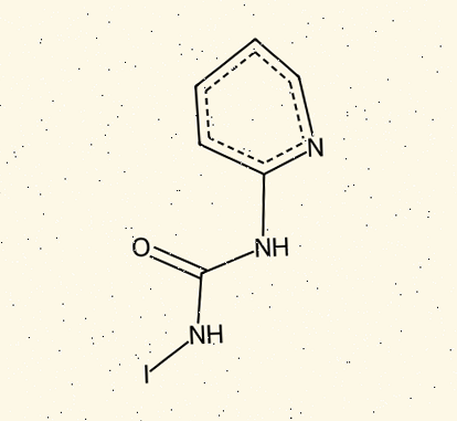 O=C(NI)Nc1ccccn1